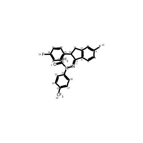 NC(=O)N(/N=C1/c2ccc(F)cc2CC1c1ccc(F)cc1)c1ccc(C(F)(F)F)cc1